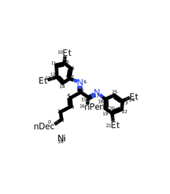 CCCCCCCCCCCC/C=C/C(=N\c1cc(CC)cc(CC)c1)C(/CCCCC)=N/c1cc(CC)cc(CC)c1.[Ni]